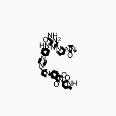 C=C1CCC(N2C(=O)c3ccc(N4CC[C@@H](CN5CCN(c6ccc(Nc7nc(N8CCC[C@@H](N9CCN(C)C9=O)C8)cnc7C(N)=O)cc6)CC5)C4)cc3C2=O)C(=O)N1